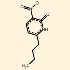 CCCCc1ccc([N+](=O)[O-])c(=O)[nH]1